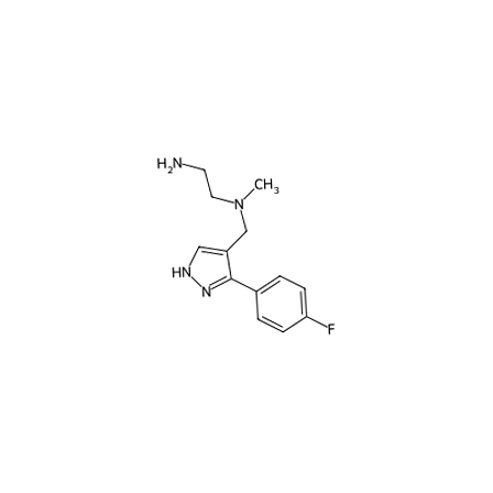 CN(CCN)Cc1c[nH]nc1-c1ccc(F)cc1